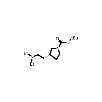 CCN(CC)CC[C@H]1CCN(C(=O)OC(C)(C)C)C1